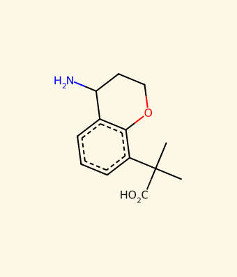 CC(C)(C(=O)O)c1cccc2c1OCCC2N